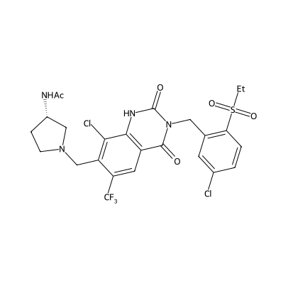 CCS(=O)(=O)c1ccc(Cl)cc1Cn1c(=O)[nH]c2c(Cl)c(CN3CC[C@H](NC(C)=O)C3)c(C(F)(F)F)cc2c1=O